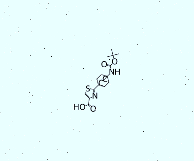 CC(C)(C)OC(=O)NC12CCC(c3nc(C(=O)O)cs3)(CC1)CC2